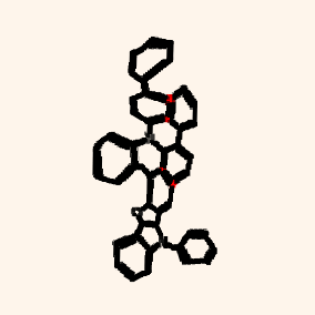 c1ccc(-c2ccc(N(c3ccccc3-c3ccccc3)c3ccccc3-c3cccc4c3oc3c5ccccc5n(-c5ccccc5)c43)cc2)cc1